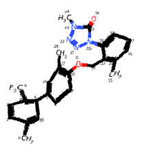 Cc1ccc(C(F)(F)F)c(-c2ccc(OCc3c(C)cccc3-n3nnn(C)c3=O)c(C)c2)c1